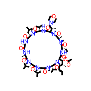 C/C=C/C[C@@H](C)[C@@H](OC(C)=O)[C@H]1C(=O)N[C@@H](CC)C(=O)N(C)[C@H](C)C(=O)N(C)C([C@@H](C)CN2CCOCC2)C(=O)N[C@@H](C(C)C)C(=O)N(C)[C@@H](CC(C)C)C(=O)N[C@@H](C)C(=O)N[C@H](C)C(=O)N(C)[C@@H](CC(C)C)C(=O)N(C)[C@@H](CC(C)C)C(=O)N(C)[C@@H](C(C)C)C(=O)N1C